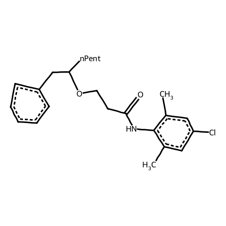 CCCCCC(Cc1ccccc1)OCCC(=O)Nc1c(C)cc(Cl)cc1C